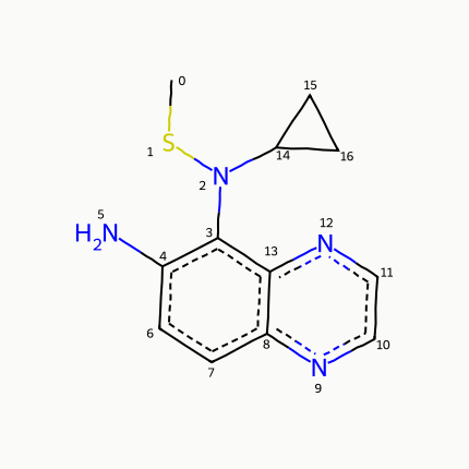 CSN(c1c(N)ccc2nccnc12)C1CC1